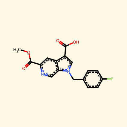 COC(=O)c1cc2c(C(=O)O)cn(Cc3ccc(F)cc3)c2cn1